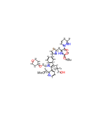 CO[C@@H](C)c1ncccc1-c1c(CC(C)(C)CO)c2cc(-c3csc(C[C@H](NC(=O)OC(C)(C)C)C(=O)N4CCCC(C)N4)n3)ccc2n1CCOC1CCOCC1